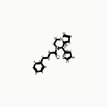 O=C(CCCc1ccccc1)N1CCn2cccc2C1c1cccs1